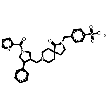 CS(=O)(=O)c1ccc(CN2CCC3(CCN(CC4CN(C(=O)c5cccs5)CC4c4ccccc4)CC3)C2=O)cc1